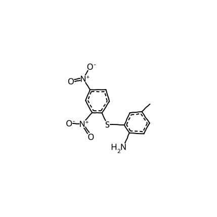 Cc1ccc(N)c(Sc2ccc([N+](=O)[O-])cc2[N+](=O)[O-])c1